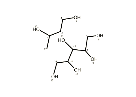 CC(O)CCO.OCC(O)C(O)C(O)CO